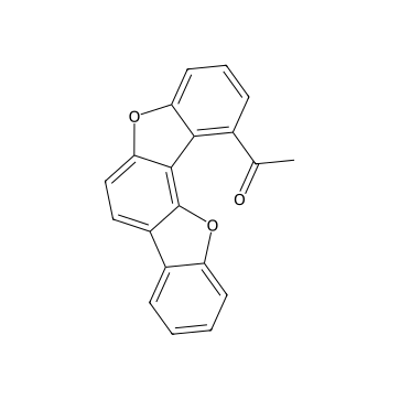 CC(=O)c1cccc2oc3ccc4c5ccccc5oc4c3c12